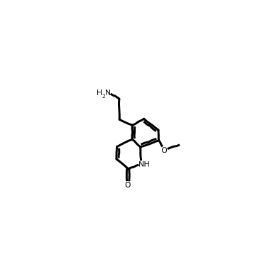 COc1ccc(CCN)c2ccc(=O)[nH]c12